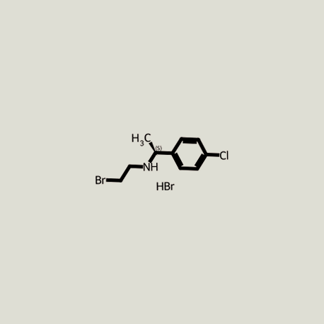 Br.C[C@H](NCCBr)c1ccc(Cl)cc1